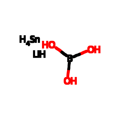 OB(O)O.[LiH].[SnH4]